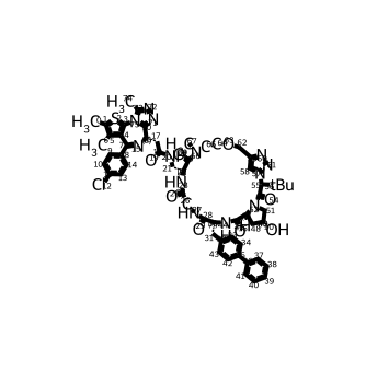 Cc1sc2c(c1C)C(c1ccc(Cl)cc1)=N[C@@H](CC(=O)NC[C@H]1NC(=O)CNC(=O)[C@@H](Cc3ccc(-c4ccccc4)cc3)NC(=O)[C@@H]3C[C@@H](O)CN3C(=O)C(C(C)(C)C)n3cc(nn3)COCCN(C)C1=O)c1nnc(C)n1-2